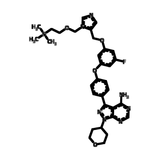 C[Si](C)(C)CCOCn1cncc1COc1cc(F)cc(Oc2ccc(-c3nn(C4CCOCC4)c4ncnc(N)c34)cc2)c1